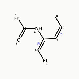 C/C=C\C(=C/CC)NC(=O)CC